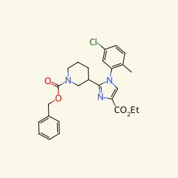 CCOC(=O)c1cn(-c2cc(Cl)ccc2C)c(C2CCCN(C(=O)OCc3ccccc3)C2)n1